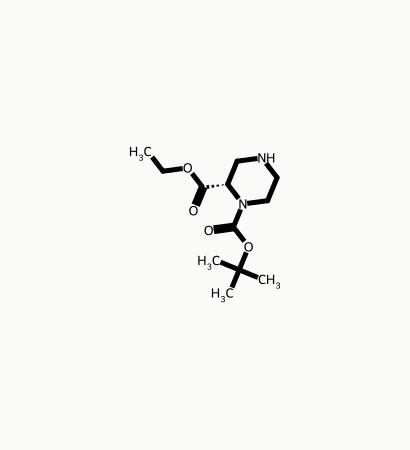 CCOC(=O)[C@@H]1CNCCN1C(=O)OC(C)(C)C